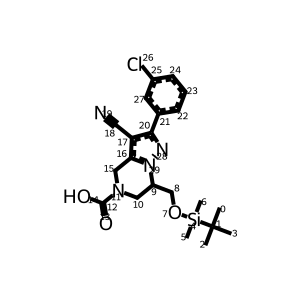 CC(C)(C)[Si](C)(C)OCC1CN(C(=O)O)Cc2c(C#N)c(-c3cccc(Cl)c3)nn21